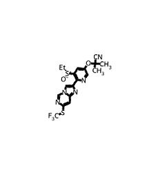 CC[S@@+]([O-])c1cc(OC(C)(C)C#N)cnc1-c1cn2cnc(SC(F)(F)F)cc2n1